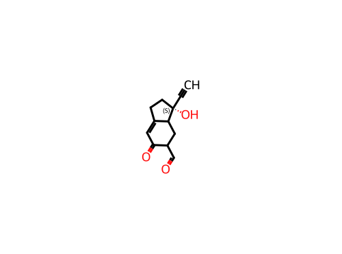 C#C[C@]1(O)CCC2=CC(=O)C(C=O)CC21